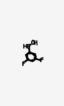 OBc1cc(F)cc(F)c1